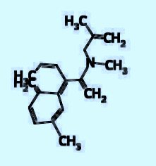 C=C(C)CN(C)C(=C)C(/C=C\C)=c1\cc(C)ccc1=C